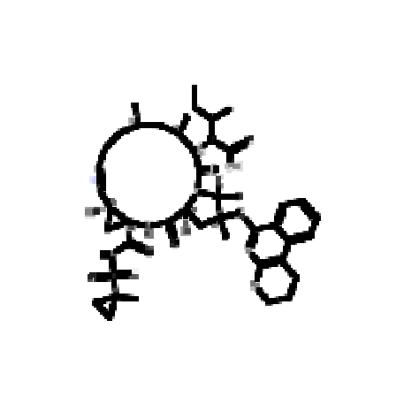 CCC(C)N(C(=O)O)[C@@H]1C(=O)N2[C@@H](C[C@@](C)(Oc3nc4c(c5ccccc35)CCCO4)C2(F)F)C(=O)N[C@]2(C(=O)NS(=O)(=O)C3(C)CC3)C[C@H]2/C=C\CC[C@@H](C)C[C@H]1C